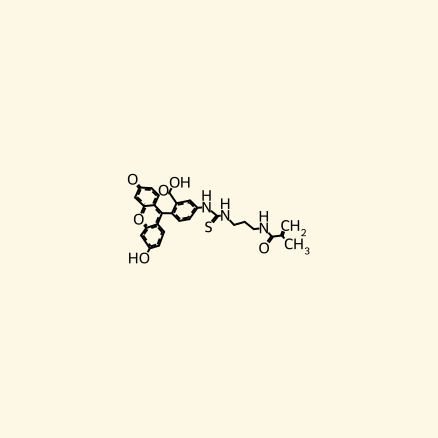 C=C(C)C(=O)NCCCNC(=S)Nc1ccc(-c2c3ccc(=O)cc-3oc3cc(O)ccc23)c(C(=O)O)c1